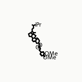 COc1ccc(/C=C/C(=O)OC2CCC3(C)C(=CCC4C3CCC35C(C)C(CCC(C)C(C)C)C3CCC45)C2)cc1OC